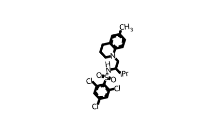 Cc1ccc2c(c1)CCCN2CC(NS(=O)(=O)c1c(Cl)cc(Cl)cc1Cl)C(C)C